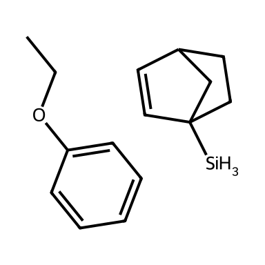 CCOc1ccccc1.[SiH3]C12C=CC(CC1)C2